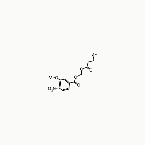 COc1cc(C(=O)OCOC(=O)CCC(C)=O)ccc1[N+](=O)[O-]